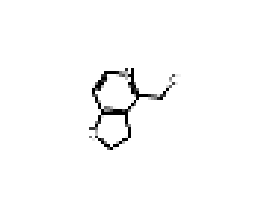 ClCc1nccc2c1CCO2